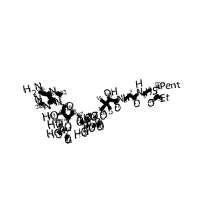 CCCC(C)[SH](CCNC(=O)CCNC(=O)C(O)C(C)(C)COP(=O)(O)OP(=O)(O)OC[C@H]1O[C@@H](n2cnc3c(N)ncnc32)[C@H](O)[C@@H]1OP(=O)(O)O)C(=O)CC